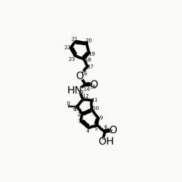 C[C@@H]1c2ccc(C(=O)O)cc2CC1NC(=O)OCc1ccccc1